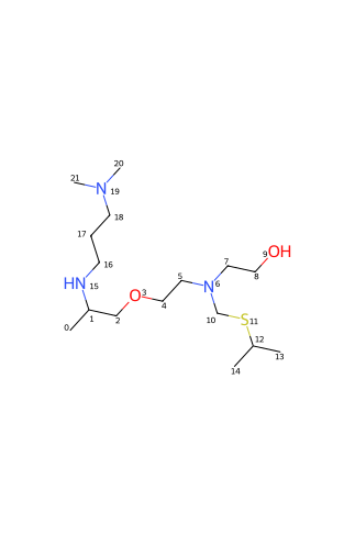 CC(COCCN(CCO)CSC(C)C)NCCCN(C)C